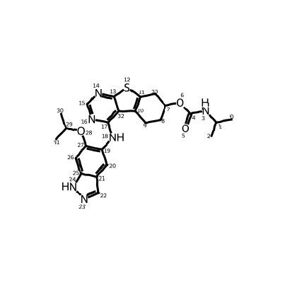 CC(C)NC(=O)OC1CCc2c(sc3ncnc(Nc4cc5cn[nH]c5cc4OC(C)C)c23)C1